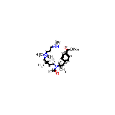 CCCNCCC[N+](C)(C)CC(C)(C)CCN(C(=O)CC)C(C)(CC)Cc1ccc(C(=O)OC)cc1